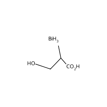 CC(CO)C(=O)O.[BiH3]